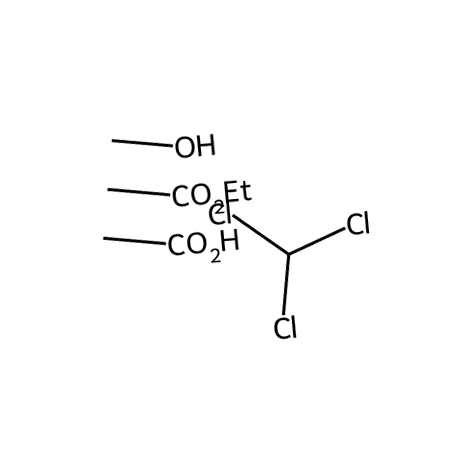 CC(=O)O.CCOC(C)=O.CO.ClC(Cl)Cl